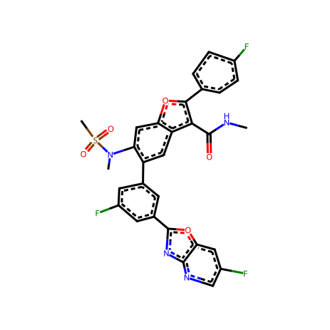 CNC(=O)c1c(-c2ccc(F)cc2)oc2cc(N(C)S(C)(=O)=O)c(-c3cc(F)cc(-c4nc5ncc(F)cc5o4)c3)cc12